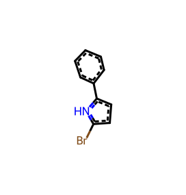 Brc1ccc(-c2ccccc2)[nH]1